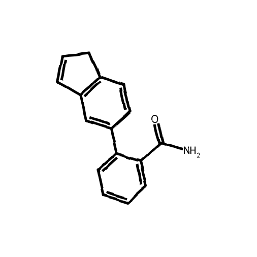 NC(=O)c1ccccc1-c1ccc2c(c1)C=CC2